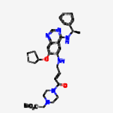 CCOC(=O)CN1CCN(C(=O)C=CCNc2cc3c(N[C@H](C)c4ccccc4)ncnc3cc2OC2CCCC2)CC1